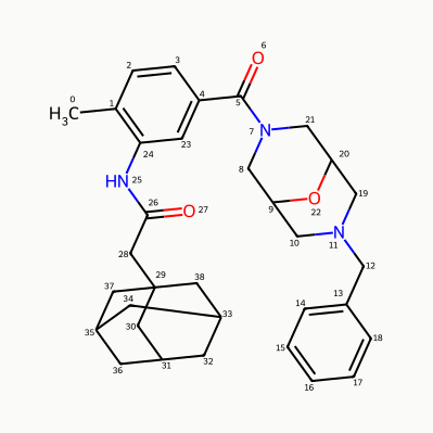 Cc1ccc(C(=O)N2CC3CN(Cc4ccccc4)CC(C2)O3)cc1NC(=O)CC12CC3CC(CC(C3)C1)C2